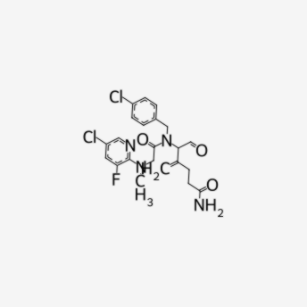 C=C(CCC(N)=O)C(C=O)N(Cc1ccc(Cl)cc1)C(=O)CN(C)c1ncc(Cl)cc1F